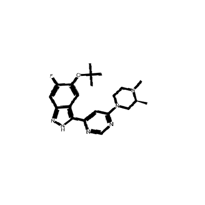 C[C@H]1CN(c2cc(-c3[nH]nc4cc(F)c(OC(C)(C)C)cc34)ncn2)CCN1C